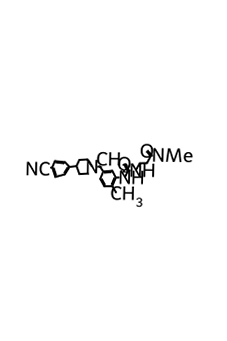 C=C(c1ccc(C)c(NC(=O)NCCC(=O)NC)c1)N1CCC(c2ccc(C#N)cc2)CC1